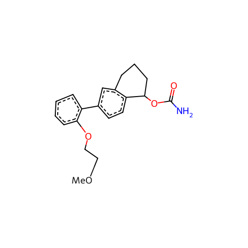 COCCOc1ccccc1-c1ccc2c(c1)CCCC2OC(N)=O